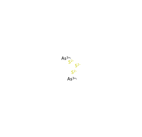 [As+3].[As+3].[S-2].[S-2].[S-2]